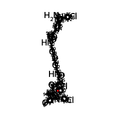 COc1ccc(C2=N[C@@H](c3ccc(Cl)cc3)[C@@H](c3ccc(Cl)cc3)N2C(=O)N2CCN(CC(=O)N(C)CC(=O)NCCCOCCOCCOCCCNC(=O)CN(C)C(=O)CCN3CCN(c4cc(-c5ccc(Cl)cc5)nc(N)n4)CC3)C(=O)C2)c(OC(C)C)c1